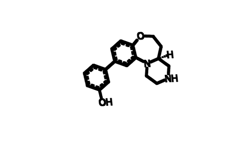 Oc1cccc(-c2ccc3c(c2)N2CCNC[C@@H]2CCO3)c1